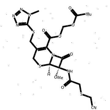 CO[C@@]1(NC(=O)CSCC#N)C(=O)N2C(C(=O)OCOC(=O)C(C)(C)C)=C(CSc3nnnn3C)CS[C@@H]21